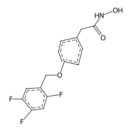 O=C(Cc1ccc(OCc2cc(F)c(F)cc2F)cc1)NO